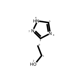 CCO.c1nc[nH]n1